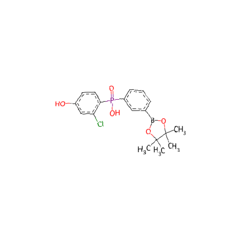 CC1(C)OB(c2cccc(P(=O)(O)c3ccc(O)cc3Cl)c2)OC1(C)C